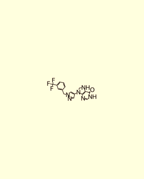 O=c1[nH]cnc2c1NCN2c1cnn(Cc2cccc(C(F)(F)F)c2)c1